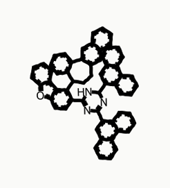 c1ccc2c(c1)-c1cc3ccccc3cc1CCC2c1c(C2=NC(c3cc4ccccc4c4ccccc34)=NC(c3cc4ccccc4c4ccccc34)N2)ccc2oc3ccccc3c12